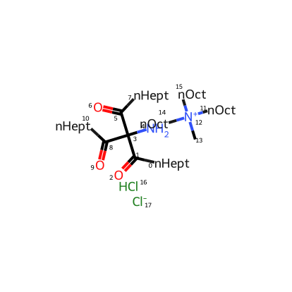 CCCCCCCC(=O)C(N)(C(=O)CCCCCCC)C(=O)CCCCCCC.CCCCCCCC[N+](C)(CCCCCCCC)CCCCCCCC.Cl.[Cl-]